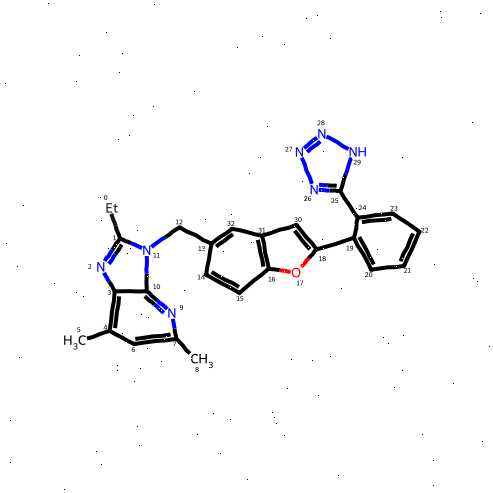 CCc1nc2c(C)cc(C)nc2n1Cc1ccc2oc(-c3ccccc3-c3nnn[nH]3)cc2c1